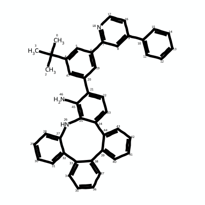 CC(C)(C)c1cc(-c2cc(-c3ccccc3)ccn2)cc(-c2ccc3c([nH]c4ccccc4c4ccccc4c4ccccc34)c2N)c1